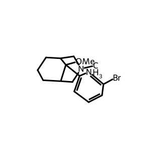 COC1(c2cccc(Br)n2)C2CCCC1CN(C)C2